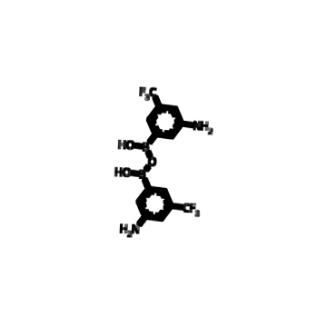 Nc1cc(B(O)OB(O)c2cc(N)cc(C(F)(F)F)c2)cc(C(F)(F)F)c1